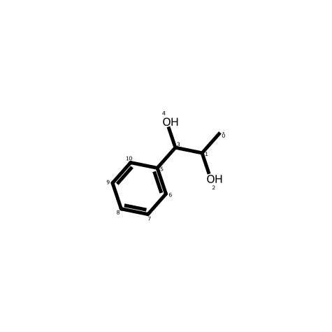 [CH2]C(O)C(O)c1ccccc1